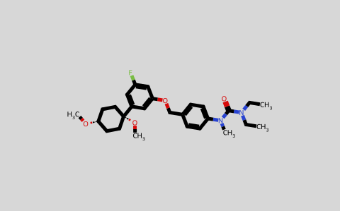 CCN(CC)C(=O)N(C)c1ccc(COc2cc(F)cc([C@]3(OC)CC[C@@H](OC)CC3)c2)cc1